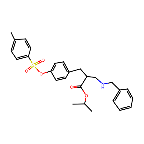 Cc1ccc(S(=O)(=O)Oc2ccc(CC(CNCc3ccccc3)C(=O)OC(C)C)cc2)cc1